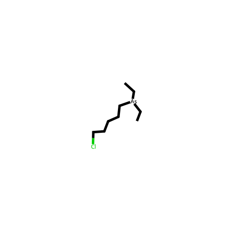 CC[As](CC)CCCCCCl